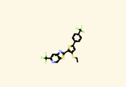 CCSc1cc(-c2ccc(C(F)(F)F)cc2)sc1-c1nc2cc(C(F)(F)F)ncc2s1